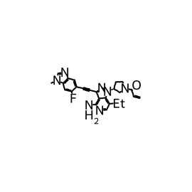 C=CC(=O)N1CC[C@H](n2nc(C#Cc3cc4ncn(C)c4cc3F)c3c(N)ncc(CC)c32)C1